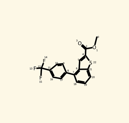 COC(=O)c1cc2c(-c3ccc(C(F)(F)F)cc3)cccc2s1